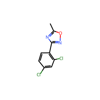 Cc1nc(-c2ccc(Cl)cc2Cl)no1